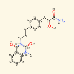 COC(Cc1ccc(CCCn2c(=O)c3ccccc3n(C)c2=O)cc1)C(N)=O